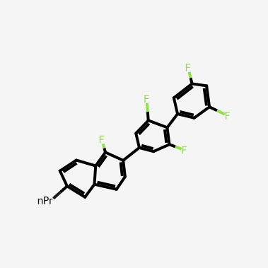 CCCc1ccc2c(F)c(-c3cc(F)c(-c4cc(F)cc(F)c4)c(F)c3)ccc2c1